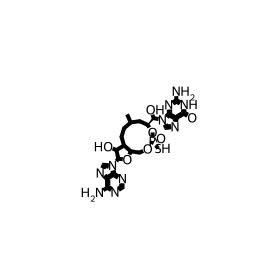 CC1CCC2C(COP(=O)(S)O[C@H](C(O)n3cnc4c(=O)[nH]c(N)nc43)C1)OC(n1cnc3c(N)ncnc31)C2O